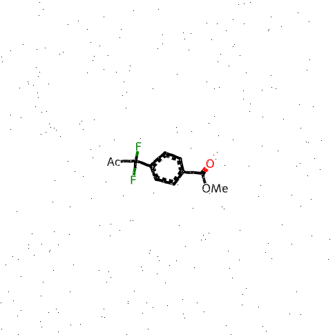 COC(=O)c1ccc(C(F)(F)C(C)=O)cc1